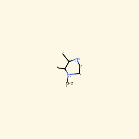 CC1NCCN(C=O)C1C